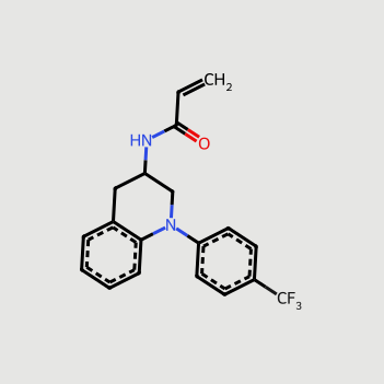 C=CC(=O)NC1Cc2ccccc2N(c2ccc(C(F)(F)F)cc2)C1